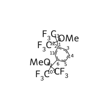 COC(c1c[c]cc(C(OC)(C(F)(F)F)C(F)(F)F)c1)(C(F)(F)F)C(F)(F)F